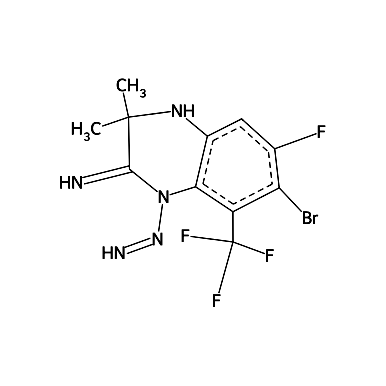 CC1(C)Nc2cc(F)c(Br)c(C(F)(F)F)c2N(N=N)C1=N